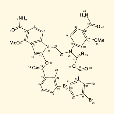 COc1c(C(N)=O)ccc2c1nc(OC(=O)c1cccc(Br)c1C)n2CCn1c(OC(=O)c2cccc(Br)c2C)nc2c(OC)c(C(N)=O)ccc21